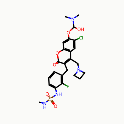 CNS(=O)(=O)Nc1cccc(Cc2c(CN3CCC3)c3cc(Cl)c(OC(O)N(C)C)cc3oc2=O)c1F